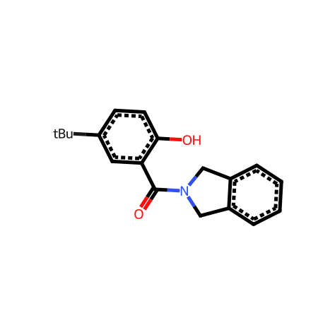 CC(C)(C)c1ccc(O)c(C(=O)N2Cc3ccccc3C2)c1